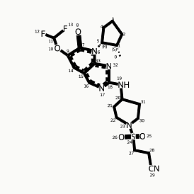 C[C@H]1CCC[C@H]1n1c(=O)c(OC(F)F)cc2cnc(NC3CCN(S(=O)(=O)CCC#N)CC3)nc21